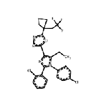 CCc1c(-c2nnc(C3(CC(F)(F)F)CCC3)o2)nc(-c2ccccc2Cl)n1-c1ccc(Cl)cc1